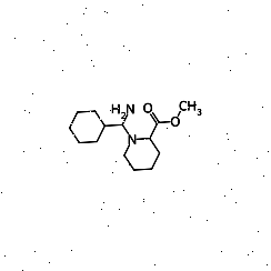 COC(=O)C1CCCCN1C(N)C1CCCCC1